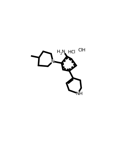 CC1CCN(c2cc(C3=CCNCC3)ccc2N)CC1.Cl.Cl